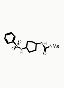 CNC(=O)NC1CCC(NS(=O)(=O)c2ccccc2)CC1